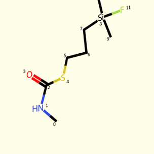 CNC(=O)SCCC[Si](C)(C)F